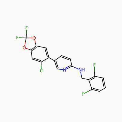 Fc1cccc(F)c1CNc1ccc(-c2cc3c(cc2Cl)OC(F)(F)O3)cn1